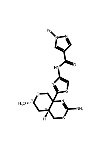 CCn1cc(C(=O)Nc2csc(C34CO[C@@H](C)C[C@H]3CSC(N)=N4)n2)cn1